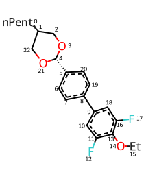 CCCCC[C@H]1CO[C@H](c2ccc(-c3cc(F)c(OCC)c(F)c3)cc2)OC1